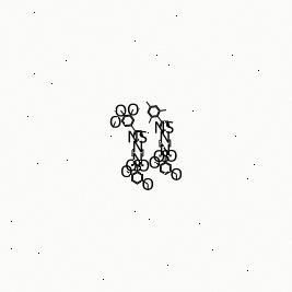 COc1ccc(OC)c(S(=O)(=O)N2CCN(c3nc(-c4c(C)cc(C)cc4C)cs3)CC2)c1.COc1ccc(OC)c(S(=O)(=O)N2CCN(c3nc(-c4cc(OC)c(OC)c(OC)c4)cs3)CC2)c1